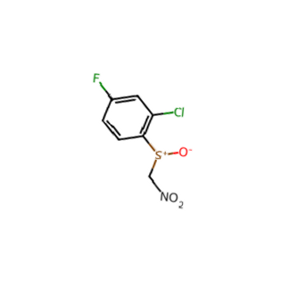 O=[N+]([O-])C[S+]([O-])c1ccc(F)cc1Cl